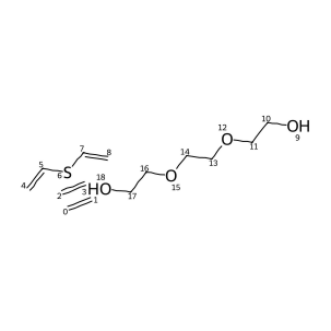 C=C.C=C.C=CSC=C.OCCOCCOCCO